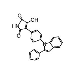 O=C1NC(=O)C(c2ccc(-n3c(-c4ccccc4)cc4ccccc43)cc2)=C1O